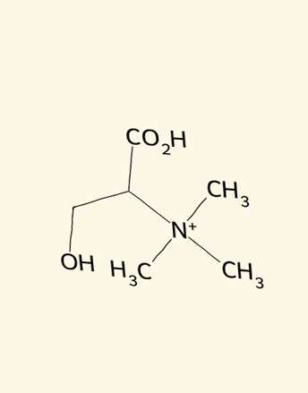 C[N+](C)(C)C(CO)C(=O)O